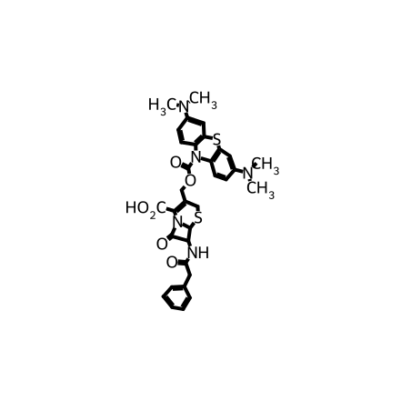 CN(C)c1ccc2c(c1)Sc1cc(N(C)C)ccc1N2C(=O)OCC1=C(C(=O)O)N2C(=O)C(NC(=O)Cc3ccccc3)C2SC1